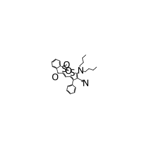 CCCCN(CCCC)c1sc(/C=C2/C(=O)c3ccccc3S2(=O)=O)c(-c2ccccc2)c1C#N